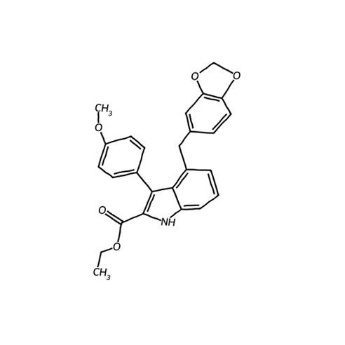 CCOC(=O)c1[nH]c2cccc(Cc3ccc4c(c3)OCO4)c2c1-c1ccc(OC)cc1